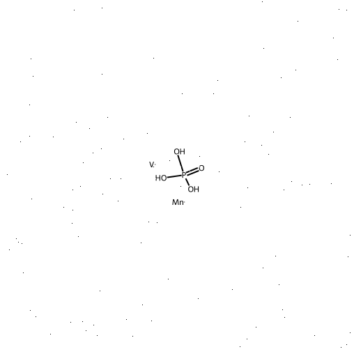 O=P(O)(O)O.[Mn].[V]